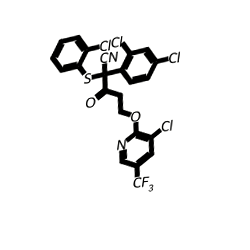 N#CC(Sc1ccccc1Cl)(C(=O)CCOc1ncc(C(F)(F)F)cc1Cl)c1ccc(Cl)cc1Cl